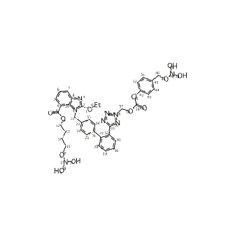 CCOc1nc2cccc(C(=O)OCCCCON(O)O)c2n1Cc1ccc(-c2ccccc2-c2nnn(COC(=O)Oc3ccc(CON(O)O)cc3)n2)cc1